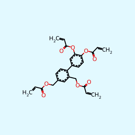 C=CC(=O)OCc1ccc(-c2ccc(OC(=O)C=C)c(OC(=O)C=C)c2)c(COC(=O)C=C)c1